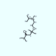 CC(C)C(=O)CC(C)(C)OCCN(C)C(C)C